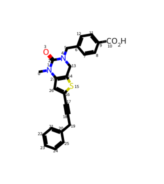 CN1C(=O)N(Cc2ccc(C(=O)O)cc2)Cc2sc(C#CCc3ccccc3)cc21